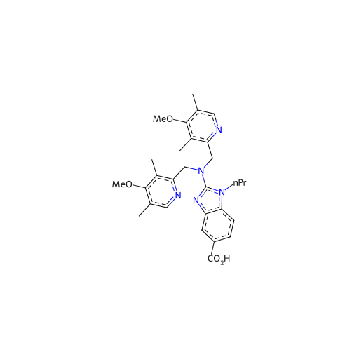 CCCn1c(N(Cc2ncc(C)c(OC)c2C)Cc2ncc(C)c(OC)c2C)nc2cc(C(=O)O)ccc21